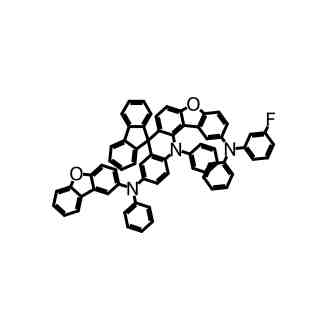 Fc1cccc(N(c2ccccc2)c2ccc3oc4ccc5c(c4c3c2)N(c2ccccc2)c2ccc(N(c3ccccc3)c3ccc4oc6ccccc6c4c3)cc2C52c3ccccc3-c3ccccc32)c1